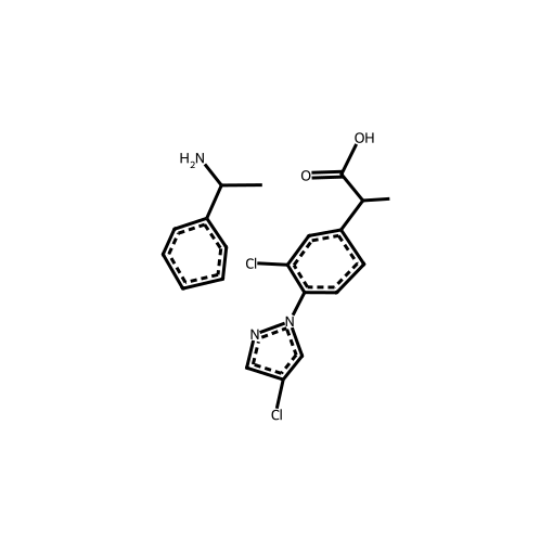 CC(C(=O)O)c1ccc(-n2cc(Cl)cn2)c(Cl)c1.CC(N)c1ccccc1